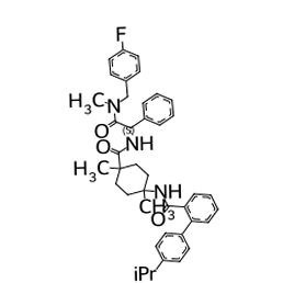 CC(C)c1ccc(-c2ccccc2C(=O)NC2(C)CCC(C)(C(=O)N[C@H](C(=O)N(C)Cc3ccc(F)cc3)c3ccccc3)CC2)cc1